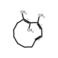 CC1=C/C=C/CCCCCC\C(C)=C\1C